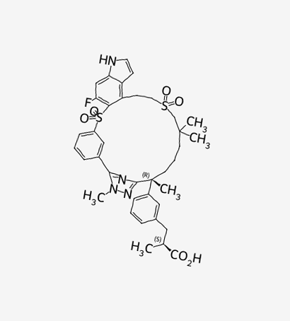 C[C@@H](Cc1cccc([C@@]2(C)CCCC(C)(C)CS(=O)(=O)CCc3c(c(F)cc4[nH]ccc34)S(=O)(=O)c3cccc(c3)-c3nc2nn3C)c1)C(=O)O